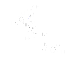 C[C@H](O/N=C(\C(=O)N[C@@H]1C(=O)N2C(C(=O)O)=C(C[N+]3(C4CCN(C(=O)c5ccc(O)c(O)c5)CC4)CCCC3)CS[C@H]12)c1nc(N)sc1Cl)C(=O)O